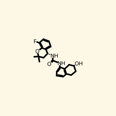 CC1(C)C[C@@H](NC(=O)Nc2cccc3c2C[C@@H](O)CC3)c2cccc(F)c2O1